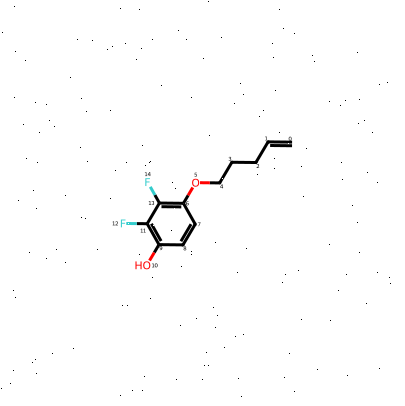 C=CCCCOc1ccc(O)c(F)c1F